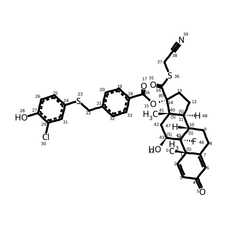 C[C@]12C=CC(=O)C=C1CC[C@H]1[C@@H]3CC[C@](OC(=O)c4ccc(CSc5ccc(O)c(Cl)c5)cc4)(C(=O)SCC#N)[C@@]3(C)C[C@H](O)[C@@]12F